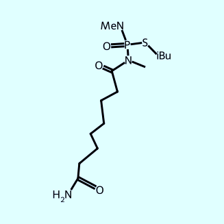 CCC(C)SP(=O)(NC)N(C)C(=O)CCCCCCC(N)=O